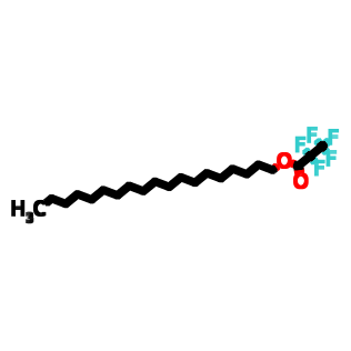 CCCCCCCCCCCCCCCCCCCOC(=O)C(F)(F)C(F)(F)F